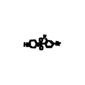 O=S(=O)(c1ccc(Br)cc1F)N1CCNCC1